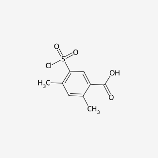 Cc1cc(C)c(S(=O)(=O)Cl)cc1C(=O)O